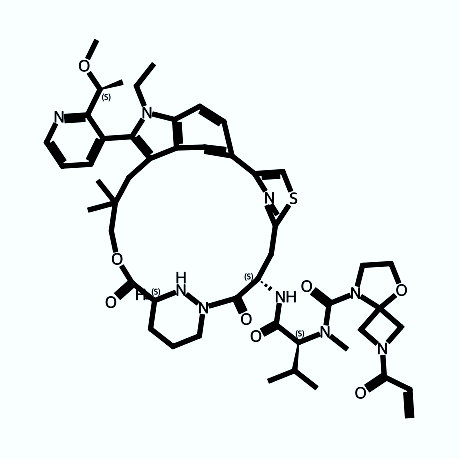 C=CC(=O)N1CC2(C1)OCCN2C(=O)N(C)[C@H](C(=O)N[C@H]1Cc2nc(cs2)-c2ccc3c(c2)c(c(-c2cccnc2[C@H](C)OC)n3CC)CC(C)(C)COC(=O)[C@@H]2CCCN(N2)C1=O)C(C)C